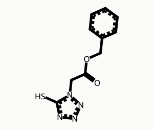 O=C(Cn1nnnc1S)OCc1ccccc1